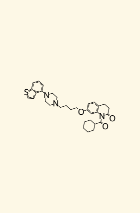 O=C1CCc2ccc(OCCCCN3CCN(c4cccc5sccc45)CC3)cc2N1C(=O)C1CCCCC1